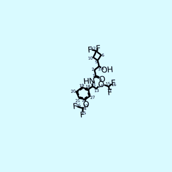 O=C(CC(O)C1CC(F)(F)C1)NC(COC(F)F)c1cccc(OC(F)F)c1